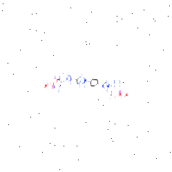 CC(C)(C)OC(=O)/N=C\C(c1nc(-c2cnc(-c3ccc(-c4c[nH]c([C@@H](NC(=O)OC(C)(C)C)C(C)(C)C)n4)cc3)nc2)c[nH]1)C(C)(C)C